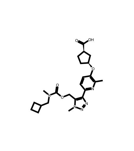 Cc1nc(-c2nnn(C)c2COC(=O)N(C)CC2CCC2)ccc1O[C@H]1CC[C@@H](C(=O)O)C1